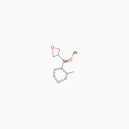 Cc1ccccc1[SiH](OC(C)C)C1COC1